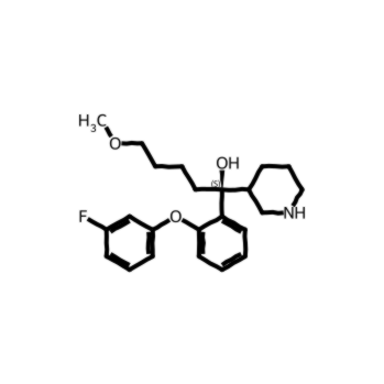 COCCCC[C@@](O)(c1ccccc1Oc1cccc(F)c1)C1CCCNC1